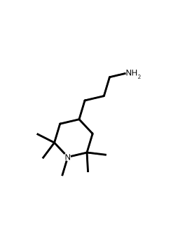 CN1C(C)(C)CC(CCCN)CC1(C)C